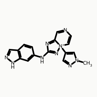 Cn1cc([N+]23C=CN=CC2=NC(Nc2ccc4cn[nH]c4c2)=N3)cn1